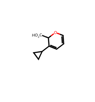 O=C(O)C1OC=CC=C1C1CC1